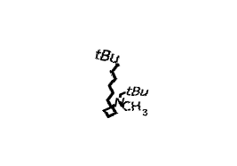 CN(CC(C)(C)C)C1(CCCCCCC(C)(C)C)CCC1